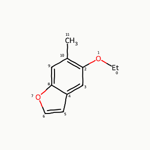 CCOc1cc2ccoc2cc1C